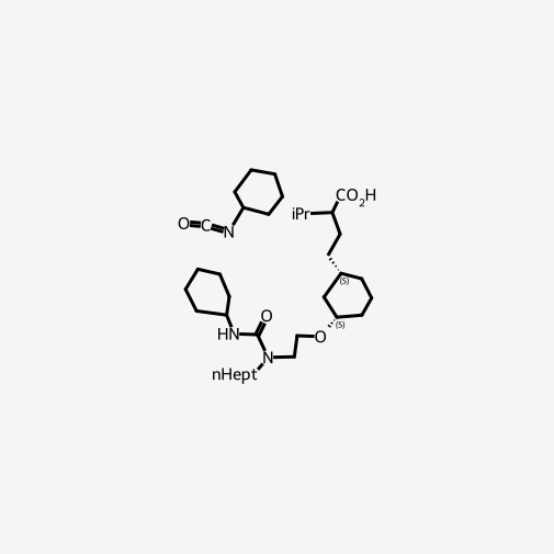 CCCCCCCN(CCO[C@H]1CCC[C@@H](CCC(C(=O)O)C(C)C)C1)C(=O)NC1CCCCC1.O=C=NC1CCCCC1